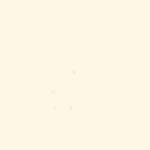 [2H]c1c(C)c(C([2H])([2H])[2H])cn(-c2ccccc2)c1=O